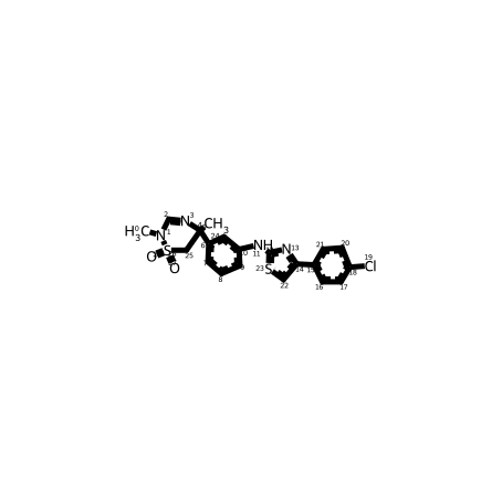 CN1C=NC(C)(c2cccc(Nc3nc(-c4ccc(Cl)cc4)cs3)c2)CS1(=O)=O